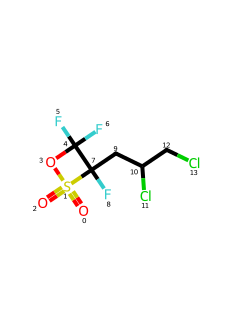 O=S1(=O)OC(F)(F)C1(F)CC(Cl)CCl